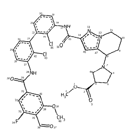 COC(=O)[C@@H]1CCN(C2CCCn3nc(C(=O)Nc4cccc(-c5cccc(NC(=O)c6cc(F)c(C=O)c(OC)c6)c5Cl)c4Cl)cc32)C1